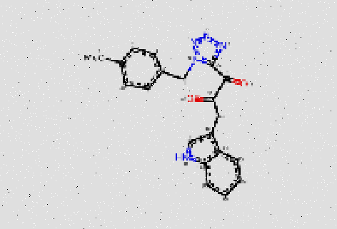 COc1ccc(Cn2nnnc2C(=O)C(=O)Cc2c[nH]c3ccccc23)cc1